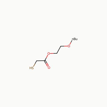 CCCCOCCOC(=O)CS